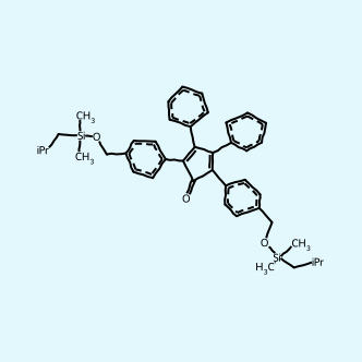 CC(C)C[Si](C)(C)OCc1ccc(C2=C(c3ccccc3)C(c3ccccc3)=C(c3ccc(CO[Si](C)(C)CC(C)C)cc3)C2=O)cc1